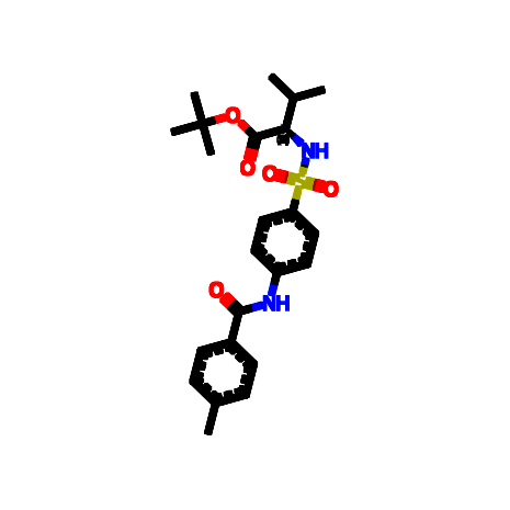 Cc1ccc(C(=O)Nc2ccc(S(=O)(=O)N[C@@H](C(=O)OC(C)(C)C)C(C)C)cc2)cc1